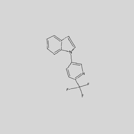 FC(F)(F)c1ccc(-n2ccc3c[c]ccc32)cn1